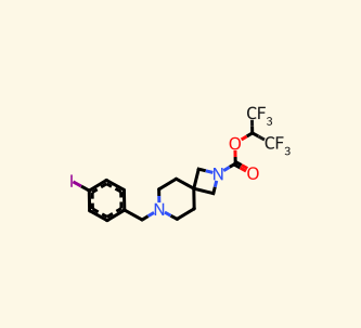 O=C(OC(C(F)(F)F)C(F)(F)F)N1CC2(CCN(Cc3ccc(I)cc3)CC2)C1